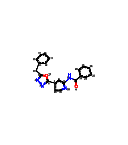 O=C(Nc1cc(-c2nnc(Cc3ccccc3)o2)ccn1)c1ccccc1